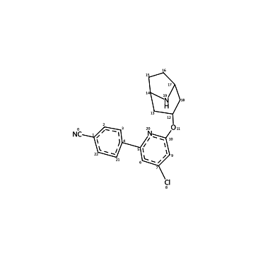 N#Cc1ccc(-c2cc(Cl)cc(OC3CC4CCC(C3)N4)n2)cc1